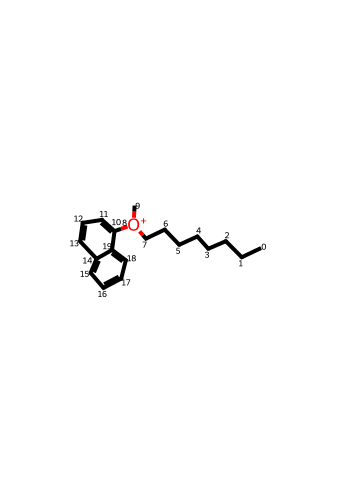 CCCCCCCC[O+](C)c1cccc2ccccc12